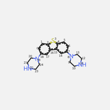 c1cc2sc3ccc(N4CCNCC4)cc3c2cc1N1CCNCC1